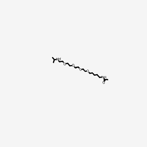 CC(=O)NCCCCCOCCOCCOCCOCCNC(C)C